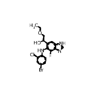 CCOCC(O)c1cc2[nH]cnc2c(F)c1Nc1ccc(Br)cc1Cl